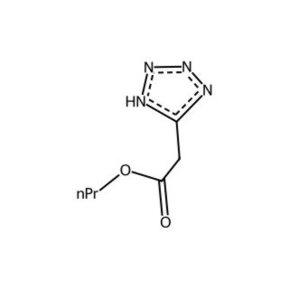 CCCOC(=O)Cc1nnn[nH]1